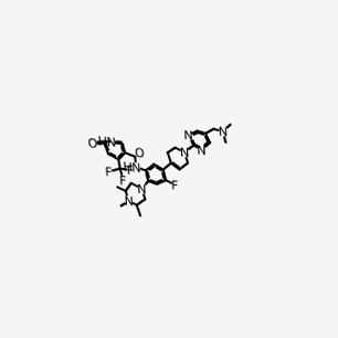 CC1CN(c2cc(F)c(C3=CCN(c4ncc(CN(C)C)cn4)CC3)cc2NC(=O)c2c[nH]c(=O)cc2C(F)(F)F)CC(C)N1C